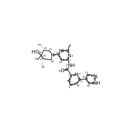 Cc1nc(NC(=O)c2cccc(-c3cn[nH]c3)n2)cc(N2C[C@@H](C)C(C)(O)[C@@H](C)C2)n1